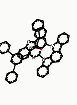 c1ccc(-c2cc(-c3ccccc3)cc(-c3nc(-c4ccccc4)nc(-n4c5ccccc5c5ccc6c7ccccc7n(-c7cc(-c8ccccc8)c8oc9ccccc9c8c7)c6c54)n3)c2)cc1